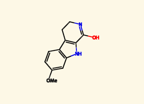 COc1ccc2c3c([nH]c2c1)C(O)=NCC3